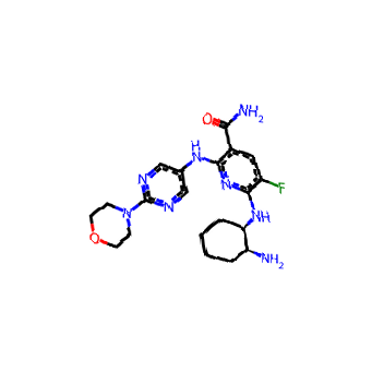 NC(=O)c1cc(F)c(N[C@@H]2CCCC[C@@H]2N)nc1Nc1cnc(N2CCOCC2)nc1